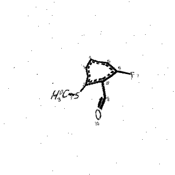 CSc1cccc(F)c1C=O